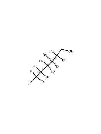 OCC(Br)(Br)C(Br)(Br)C(Br)(Br)C(Br)(Br)C(Br)(Br)Br